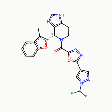 Cc1c([C@@H]2c3nc[nH]c3CCN2C(=O)c2nnc(-c3cnn(C(F)F)c3)o2)oc2ccccc12